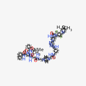 CN[C@@H](C)C(=O)N[C@H](C(=O)N1C[C@@H](NC(=O)CCC(=O)NCCCN2C[C@@H]3CN(CCC(=O)NCc4cccc(CNc5cc(N6CCC7(CC6)CN(c6cc(F)c(CN8CCC(C)(C)CC8)cc6F)CC(=O)N7)ncn5)c4)C[C@@H]3C2)C[C@H]1C(=O)NC1CCCc2ccccc21)C1CCCCC1